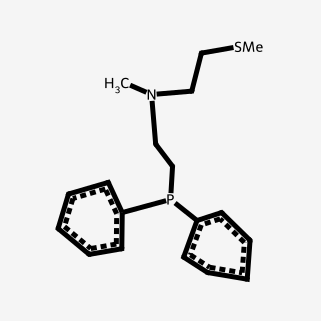 CSCCN(C)CCP(c1ccccc1)c1ccccc1